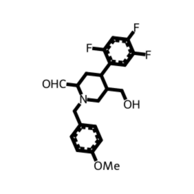 COc1ccc(CN2CC(CO)C(c3cc(F)c(F)cc3F)CC2C=O)cc1